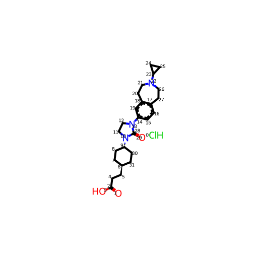 Cl.O=C(O)CC[C@H]1CC[C@H](N2CCN(c3ccc4c(c3)CCN(C3CC3)CC4)C2=O)CC1